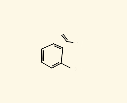 C=CC(=O)O.O=S(=O)(O)c1ccccc1